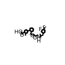 CSc1ccc(CC(C)(C)NC[C@@H](O)CO[C@H](C)c2ccccc2-c2ccc(C(=O)O)c(C)c2)cc1F